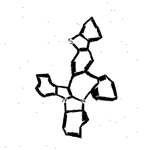 c1ccc2c(c1)-c1cc3c(cc1-c1c4ccccc4n4c5ccccc5n-2c14)sc1ccccc13